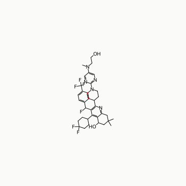 CN(CCO)c1cnc(N2CCC(c3nc4c(c(C5CCC(F)(F)CC5)c3C(F)c3ccc(C(F)(F)F)cc3)C(O)CC(C)(C)C4)CC2)nc1